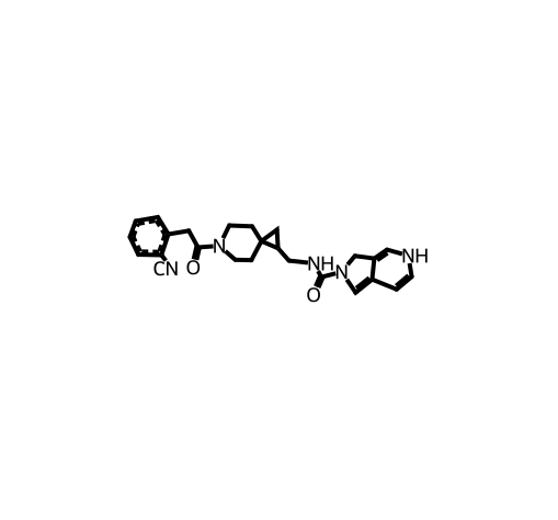 N#Cc1ccccc1CC(=O)N1CCC2(CC1)CC2CNC(=O)N1C=C2C=CNC=C2C1